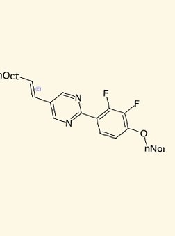 CCCCCCCC/C=C/c1cnc(-c2ccc(OCCCCCCCCC)c(F)c2F)nc1